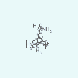 C[C@H](N)CCCc1cc(CC(F)(F)F)cc(C(C)(C)C)c1